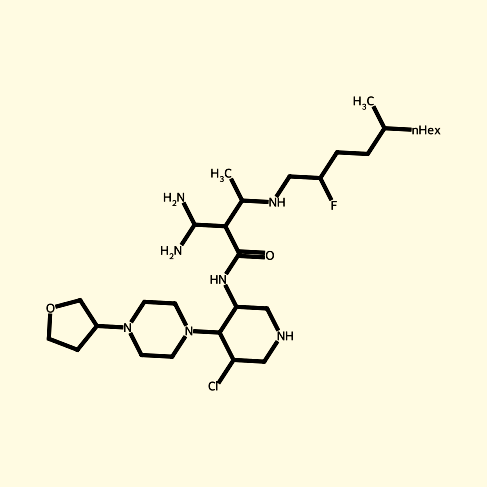 CCCCCCC(C)CCC(F)CNC(C)C(C(=O)NC1CNCC(Cl)C1N1CCN(C2CCOC2)CC1)C(N)N